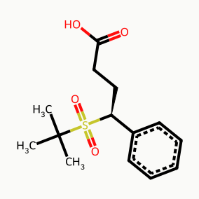 CC(C)(C)S(=O)(=O)[C@@H](CCC(=O)O)c1ccccc1